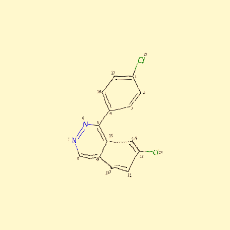 Clc1ccc(-c2nncc3ccc(Cl)cc23)cc1